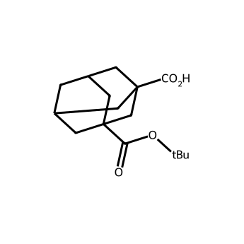 CC(C)(C)OC(=O)C12CC3CC(CC(C(=O)O)(C3)C1)C2